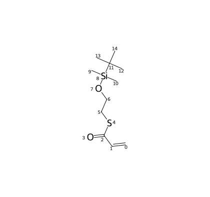 C=CC(=O)SCCO[Si](C)(C)C(C)(C)C